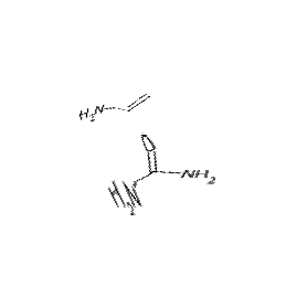 C=CN.NC(N)=O